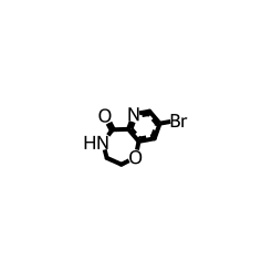 O=C1NCCOc2cc(Br)cnc21